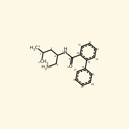 CC(C)CC(CN)NC(=O)c1ccccc1-c1ccccc1